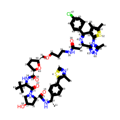 Cc1ncsc1-c1ccc([C@H](C)NC(=O)[C@@H]2C[C@@H](O)CN2C(=O)C(NC(=O)[C@@H]2CC[C@H](COCCCNC(=O)C[C@@H]3N=C(c4ccc(Cl)cc4)c4c(sc(C)c4C)-n4c(C)nnc43)O2)C(C)(C)C)cc1